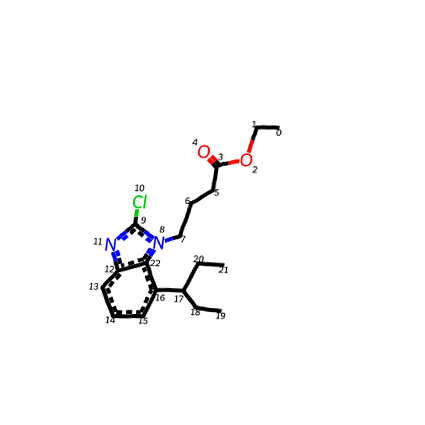 CCOC(=O)CCCn1c(Cl)nc2cccc(C(CC)CC)c21